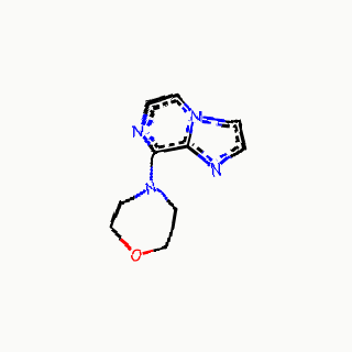 c1cn2ccnc2c(N2CCOCC2)n1